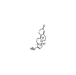 CCCCC1=CC[C@H]2[C@@H]3CCC4=CC(=O)CCC4=C3CC[C@]12C